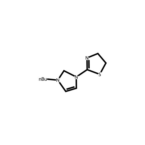 CCCCN1C=CN(C2=NCCS2)C1